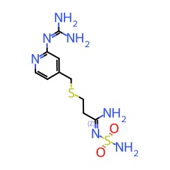 NC(N)=Nc1cc(CSCC/C(N)=N/S(N)(=O)=O)ccn1